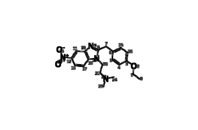 CCOc1ccc(Cc2nc3cc([N+](=O)[O-])ccc3n2CCN(C)C)cc1